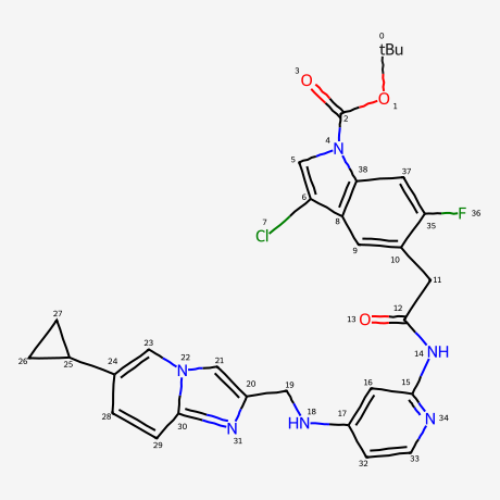 CC(C)(C)OC(=O)n1cc(Cl)c2cc(CC(=O)Nc3cc(NCc4cn5cc(C6CC6)ccc5n4)ccn3)c(F)cc21